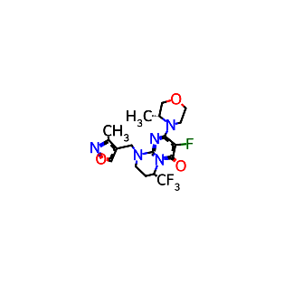 Cc1nocc1CN1CC[C@H](C(F)(F)F)n2c1nc(N1CCOC[C@H]1C)c(F)c2=O